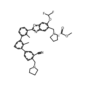 COC(=O)[C@@H]1CCCN1Cc1cc2nc(-c3cccc(-c4cccc(-c5ccc(CN6CCCC6)c(C#N)c5)c4C)c3C)oc2cc1OC(F)F